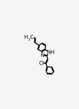 CC=Cc1ccc2[nH]c(C=C(Cl)c3ccccc3)nc2c1